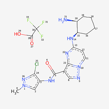 Cn1cc(NC(=O)c2cnn3ccc(N[C@@H]4CCCC[C@@H]4N)nc23)c(Cl)n1.O=C(O)C(F)(F)F